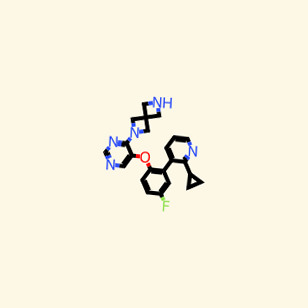 Fc1ccc(Oc2cncnc2N2CC3(CNC3)C2)c(-c2cccnc2C2CC2)c1